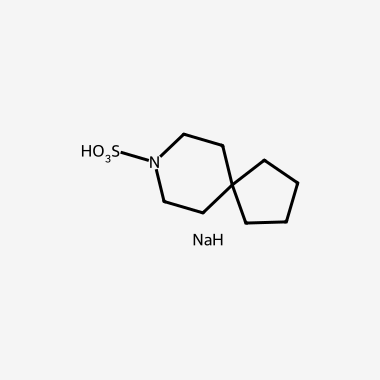 O=S(=O)(O)N1CCC2(CCCC2)CC1.[NaH]